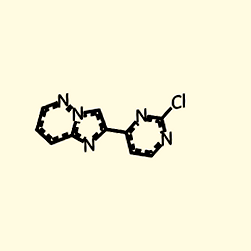 Clc1nccc(-c2cn3ncccc3n2)n1